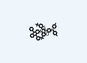 Cc1ccc(N(c2ccc(C)cc2)c2ccc3c(c2)Oc2cc(C(C)(C)C)cc4c2B3c2sc3ccc(C(C)(C)C)cc3c2N4c2ccc3c(-c4ccccc4)c4ccccc4c(-c4ccccc4)c3c2)cc1